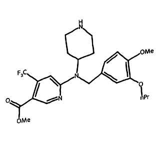 CCCOc1cc(CN(c2cc(C(F)(F)F)c(C(=O)OC)cn2)C2CCNCC2)ccc1OC